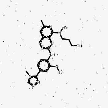 CCCN(CCCO)c1nc(C)cc2cnc(Nc3ccc(-c4nncn4C)cc3OCC)nc12